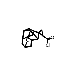 O=C(Cl)C1CC12C1CC3C4CC5CC3C2C(C5)C4C1